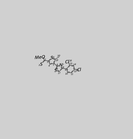 COC(=S)c1cc(-c2nc(-c3ccc(Cl)cc3Cl)cs2)c(C)s1